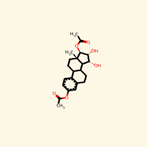 CC(=O)Oc1ccc2c(c1)CCC1C2CC[C@@]2(C)C1[C@@H](O)[C@@H](O)[C@@H]2OC(C)=O